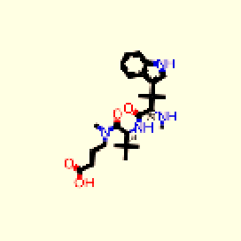 CN[C@H](C(=O)N[C@H](C(=O)N(C)CCCC(=O)O)C(C)(C)C)C(C)(C)c1c[nH]c2ccccc12